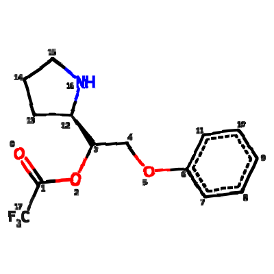 O=C(OC(COc1ccccc1)[C@H]1CCCN1)C(F)(F)F